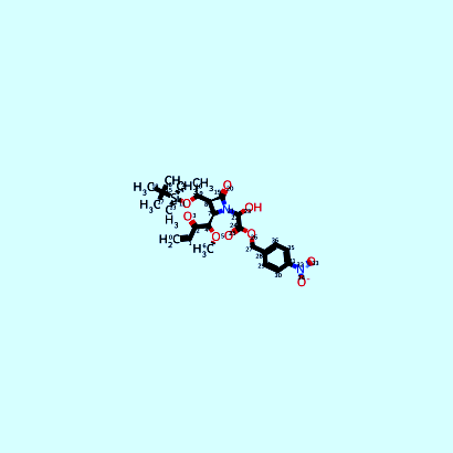 C=CC(=O)C(OC)[C@H]1[C@@H]([C@@H](C)O[Si](C)(C)C(C)(C)C)C(=O)N1C(O)C(=O)OCc1ccc([N+](=O)[O-])cc1